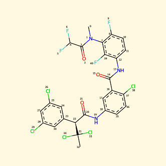 CN(C(=O)C(F)F)c1c(F)ccc(NC(=O)c2cc(NC(=O)[C@H](c3cc(Cl)cc(Cl)c3)C(C)(Cl)Cl)ccc2Cl)c1F